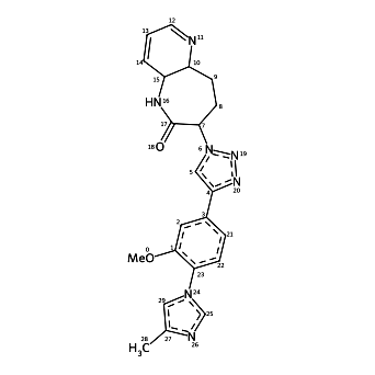 COc1cc(-c2cn(C3CCC4N=CC=CC4NC3=O)nn2)ccc1-n1cnc(C)c1